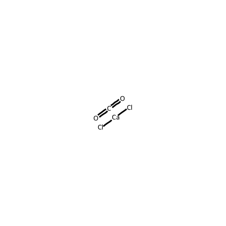 O=C=O.[Cl][Ca][Cl]